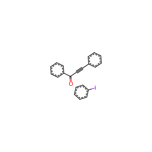 Ic1ccccc1.O=C(C#Cc1ccccc1)c1ccccc1